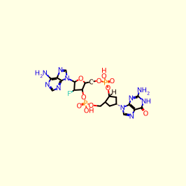 Nc1nc2c(ncn2[C@@H]2CC3COP(=O)(O)OC4C(COP(=O)(O)O[C@@H]3C2)OC(n2cnc3c(N)ncnc32)C4F)c(=O)[nH]1